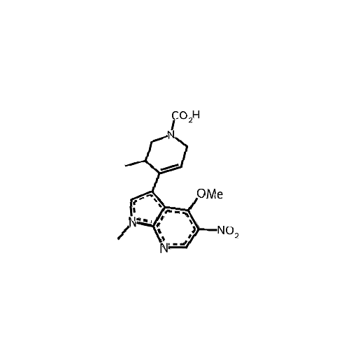 COc1c([N+](=O)[O-])cnc2c1c(C1=CCN(C(=O)O)CC1C)cn2C